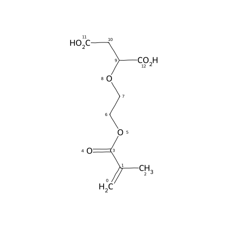 C=C(C)C(=O)OCCOC(CC(=O)O)C(=O)O